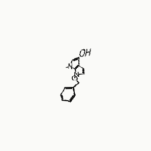 Cn1cc(O)c2ccn(OCc3ccccc3)c21